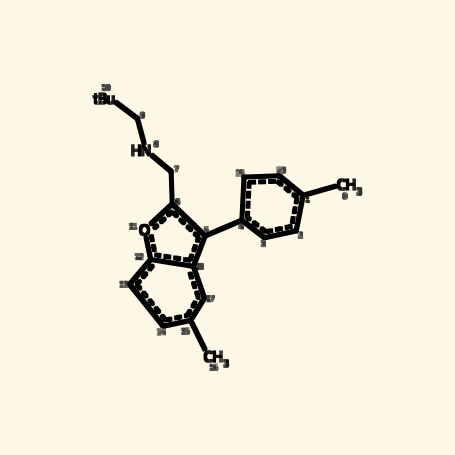 Cc1ccc(-c2c(CNCC(C)(C)C)oc3ccc(C)cc23)cc1